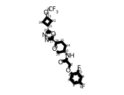 O=C(COc1ccc(F)cc1F)N[C@H]1CC[C@H](c2nnc([C@H]3C[C@@H](OC(F)(F)F)C3)o2)OC1